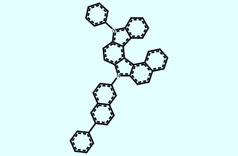 c1ccc(-c2ccc3cc(-n4c5ccc6ccccc6c5c5c6c7ccccc7n(-c7ccccc7)c6ccc54)ccc3c2)cc1